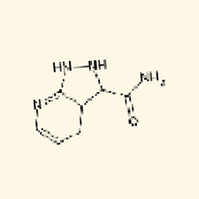 NC(=O)C1NNC2=NC=CCC21